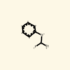 CCC(F)Oc1ccccc1